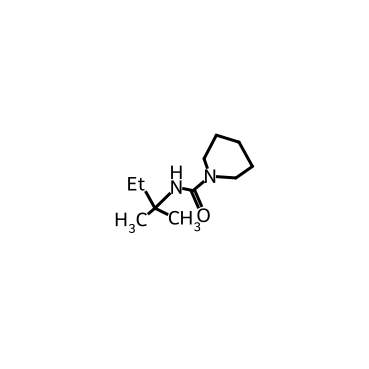 CCC(C)(C)NC(=O)N1CCCCC1